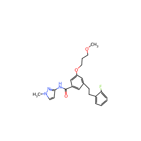 COCCCOc1cc(CCc2ccccc2F)cc(C(=O)Nc2ccn(C)n2)c1